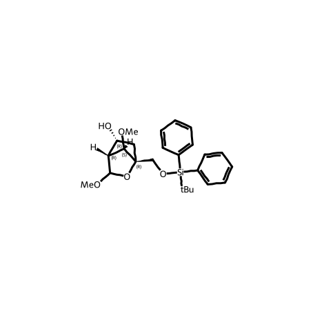 COC1O[C@@]2(CO[Si](c3ccccc3)(c3ccccc3)C(C)(C)C)C[C@@H](O)[C@@H]1[C@@H]2OC